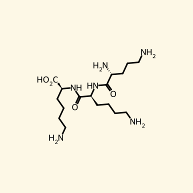 NCCCC[C@H](NC(=O)[C@H](CCCCN)NC(=O)[C@H](N)CCCN)C(=O)O